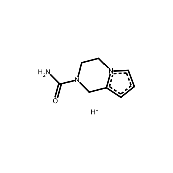 NC(=O)N1CCn2cccc2C1.[H+]